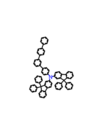 c1ccc(-c2ccc(-c3cccc(-c4ccc(N(c5ccc6c(c5)C(c5ccccc5)(c5ccccc5)c5ccccc5-6)c5ccc6c(c5)C(c5ccccc5)(c5ccccc5)c5ccccc5-6)cc4)c3)cc2)cc1